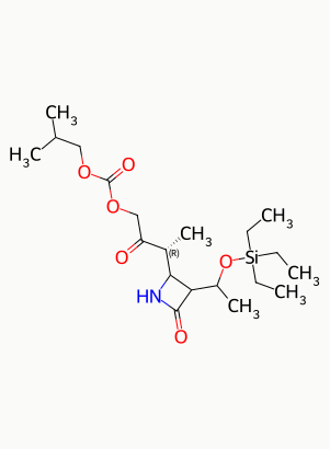 CC[Si](CC)(CC)OC(C)C1C(=O)NC1[C@@H](C)C(=O)COC(=O)OCC(C)C